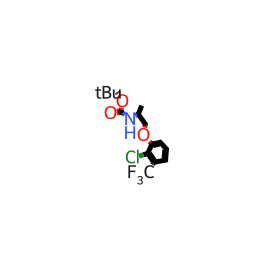 CC(COc1cccc(C(F)(F)F)c1Cl)NC(=O)OC(C)(C)C